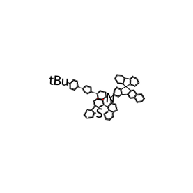 CC(C)(C)c1ccc(-c2ccc(-c3ccc(N(c4ccc5c(c4)-c4cc6ccccc6cc4C54c5ccccc5-c5ccccc54)c4ccc5ccccc5c4-c4cccc5c4sc4ccccc45)cc3)cc2)cc1